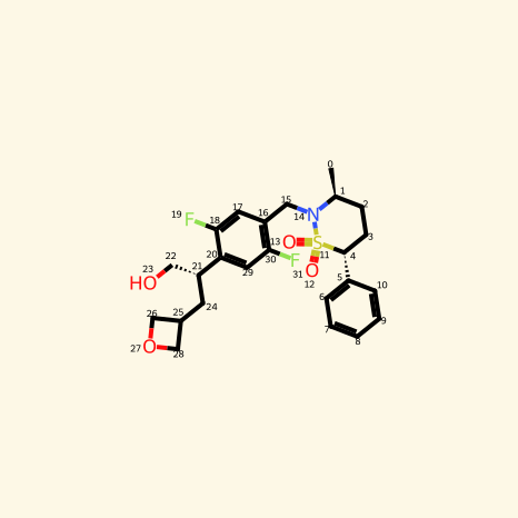 C[C@H]1CC[C@H](c2ccccc2)S(=O)(=O)N1Cc1cc(F)c([C@@H](CO)CC2COC2)cc1F